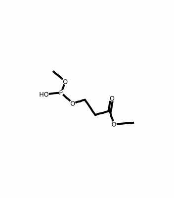 COC(=O)CCOP(O)OC